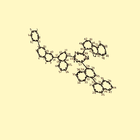 c1ccc(-c2ccc3ccc(-c4ccc(-c5nc(-c6ccc(-c7cccc8ccccc78)c7ccccc67)nc(-c6cccc7c6oc6ccccc67)n5)c5ccccc45)cc3c2)cc1